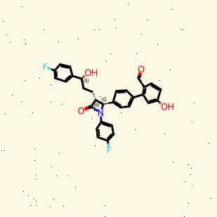 O=Cc1ccc(O)cc1-c1ccc([C@@H]2[C@@H](CC[C@H](O)c3ccc(F)cc3)C(=O)N2c2ccc(F)cc2)cc1